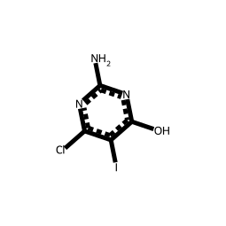 Nc1nc(O)c(I)c(Cl)n1